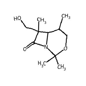 CC1COC(C)(C)N2C(=O)C(C)(CO)C12